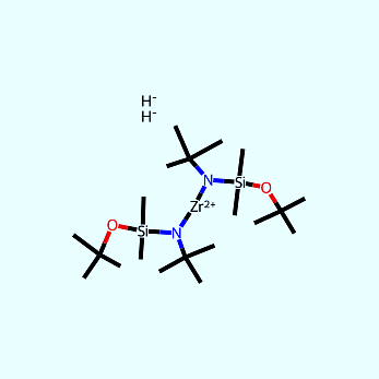 CC(C)(C)O[Si](C)(C)[N]([Zr+2][N](C(C)(C)C)[Si](C)(C)OC(C)(C)C)C(C)(C)C.[H-].[H-]